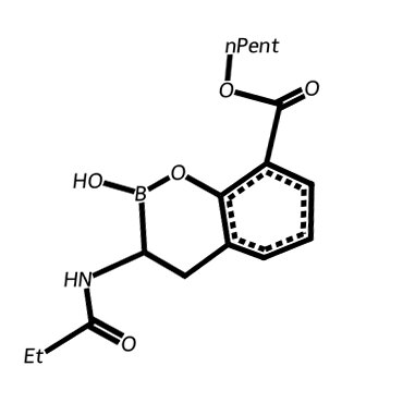 CCCCCOC(=O)c1cccc2c1OB(O)C(NC(=O)CC)C2